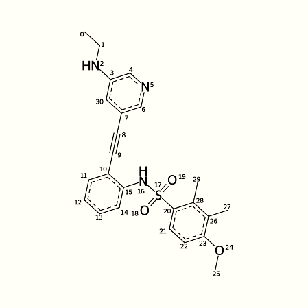 CCNc1cncc(C#Cc2ccccc2NS(=O)(=O)c2ccc(OC)c(C)c2C)c1